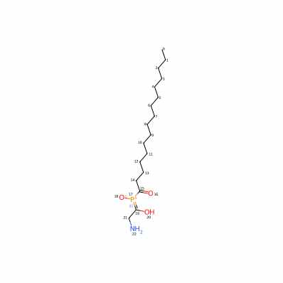 CCCCCCCCCCCCCCCC(=O)/[P+]([O-])=C(\O)CN